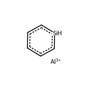 [Al+3].c1cc[siH]cc1